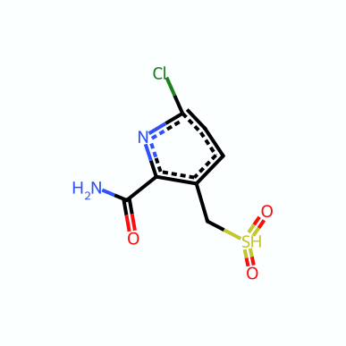 NC(=O)c1nc(Cl)ccc1C[SH](=O)=O